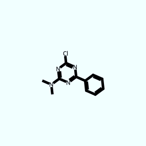 CN(C)c1nc(Cl)nc(-c2ccccc2)n1